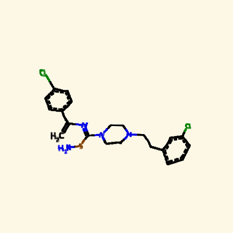 C=C(/N=C(\SN)N1CCN(CCc2cccc(Cl)c2)CC1)c1ccc(Cl)cc1